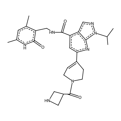 Cc1cc(C)c(CNC(=O)c2cc(C3=CCN(C(=O)C4CNC4)CC3)nc3c2cnn3C(C)C)c(=O)[nH]1